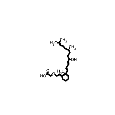 CC(C)=CCC[C@H](C)CC[C@@H](O)/C=C/C=C/[C@]1(C)CCCCC1=CCOCC(=O)O